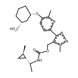 Cc1nc(-c2nnn(C)c2COC(=O)NC(C)[C@@H]2C[C@H]2C)ccc1O[C@H]1CCC[C@@H](C(=O)O)C1